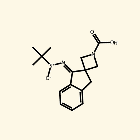 CC(C)(C)[S+]([O-])/N=C1\c2ccccc2CC12CN(C(=O)O)C2